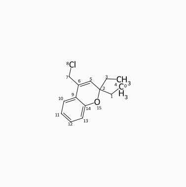 CCC1(CC)C=C(CCl)c2ccccc2O1